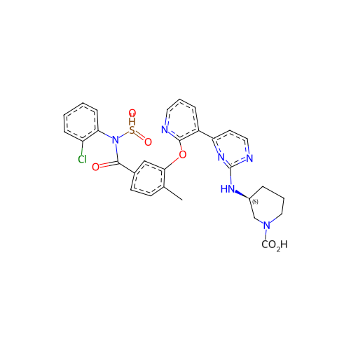 Cc1ccc(C(=O)N(c2ccccc2Cl)[SH](=O)=O)cc1Oc1ncccc1-c1ccnc(N[C@H]2CCCN(C(=O)O)C2)n1